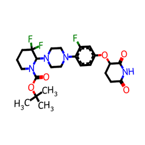 CC(C)(C)OC(=O)N1CCCC(F)(F)C1N1CCN(c2ccc(OC3CCC(=O)NC3=O)cc2F)CC1